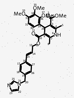 COC(=O)C1=C(C)NC(C)=C(C(=O)OC/C=C/c2ccc(Cn3ccnc3)cc2)C1c1ccc(OC)c(OC)c1OC